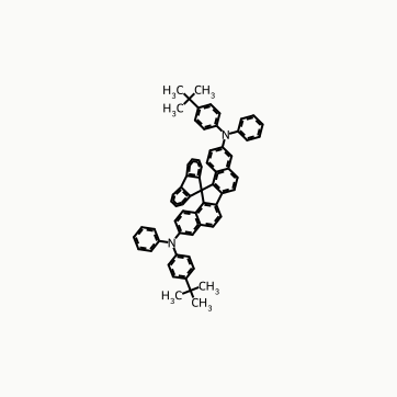 CC(C)(C)c1ccc(N(c2ccccc2)c2ccc3c4c(ccc3c2)-c2ccc3cc(N(c5ccccc5)c5ccc(C(C)(C)C)cc5)ccc3c2C42c3ccccc3-c3ccccc32)cc1